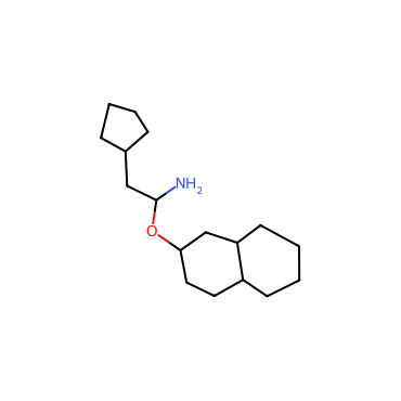 NC(CC1CCCC1)OC1CCC2CCCCC2C1